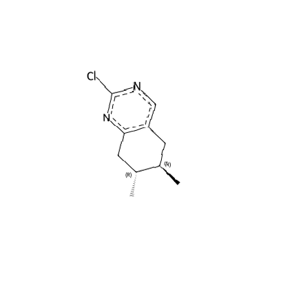 C[C@@H]1Cc2cnc(Cl)nc2C[C@H]1C